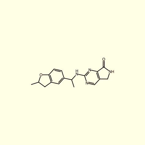 CC1Cc2cc(C(C)Nc3ncc4c(n3)C(=O)NC4)ccc2O1